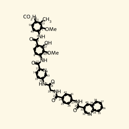 COc1c(NC(=O)c2ccc(NC(=O)c3ccc(NC(=O)CNC(=O)c4ccc(NC(=O)c5cnc6ccccc6c5)cc4)cn3)c(OC)c2O)ccc(C(=O)O)c1C